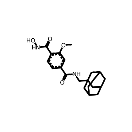 COc1cc(C(=O)NCC23CC4CC(CC(C4)C2)C3)ccc1C(=O)NO